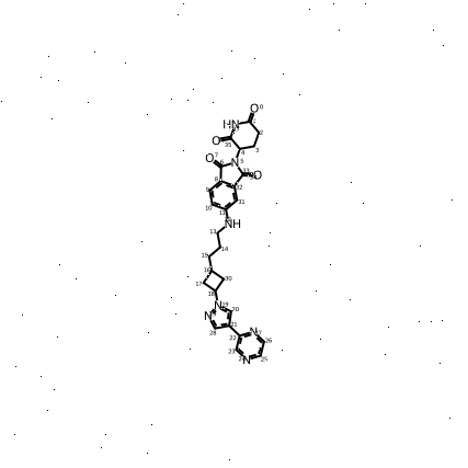 O=C1CCC(N2C(=O)c3ccc(NCCCC4CC(n5cc(-c6cnccn6)cn5)C4)cc3C2=O)C(=O)N1